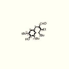 CCC(CC(C)CC)=C([C]=O)Cc1cc(C(C)(C)C)c(O)c(C(C)(C)C)c1